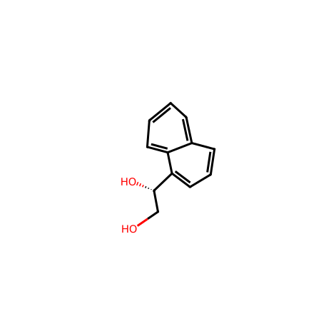 OC[C@H](O)c1cccc2ccccc12